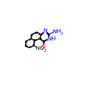 Nc1nc2ccc3cccc([N+](=O)[O-])c3c2c(=O)[nH]1